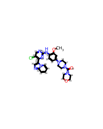 COc1cc(N2CCN(C(=O)N3CCOCC3)CC2)ccc1Nc1ncc(Cl)c(-c2cnc3ccccn23)n1